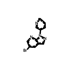 Brc1cnc2c(cnn2-c2cccnc2)c1